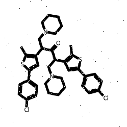 Cc1sc(-c2ccc(Cl)cc2)cc1C(CN1CCCCC1)C(=O)C(CN1CCCCC1)c1cc(-c2ccc(Cl)cc2)sc1C